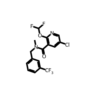 CN(Cc1cccc(C(F)(F)F)c1)C(=O)c1cc(Cl)cnc1OC(F)F